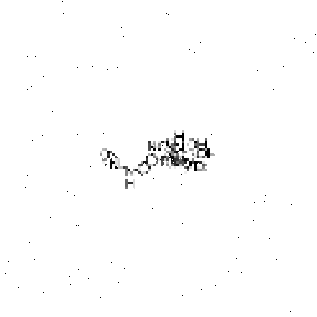 CC[C@H]1OC(O)[C@H](NS(=O)(=O)/C(C#N)=C(\C)c2ccc3cc(NCCN4CCOCC4)ccc3c2)[C@@H](O)[C@@H]1O